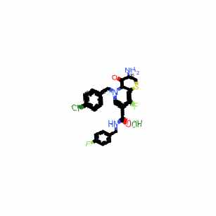 Cl.N[C@H]1CSC2=C(F)C(C(=O)NCc3ccc(F)cc3)=CN(Cc3ccc(Cl)cc3)C2C1=O